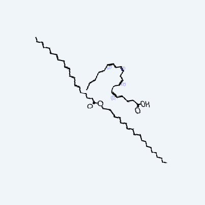 CCCCC/C=C\C/C=C\C/C=C\C/C=C\CCCC(=O)O.CCCCCCCCCCCCCCCCCCCCOC(=O)CCCCCCCCCCCCCCCCCCC